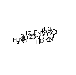 Cn1cccc(Cn2ccc(C(=O)c3cncnc3N[C@@H]3C[C@H](COS(N)(=O)=O)[C@@H](O)[C@@H]3F)c2)c1=O